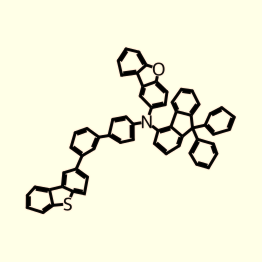 c1ccc(C2(c3ccccc3)c3ccccc3-c3c(N(c4ccc(-c5cccc(-c6ccc7sc8ccccc8c7c6)c5)cc4)c4ccc5oc6ccccc6c5c4)cccc32)cc1